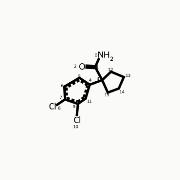 NC(=O)C1(c2ccc(Cl)c(Cl)c2)CCCC1